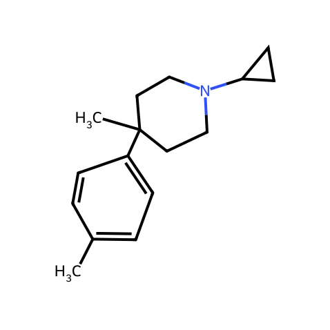 Cc1ccc(C2(C)CCN(C3CC3)CC2)cc1